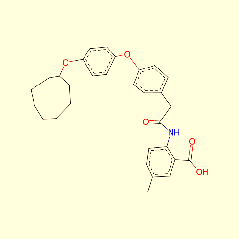 Cc1ccc(NC(=O)Cc2ccc(Oc3ccc(OC4CCCCCCC4)cc3)cc2)c(C(=O)O)c1